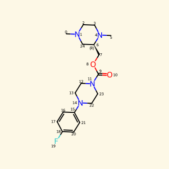 CN1CCN(C)[C@@H](COC(=O)N2CCN(c3ccc(F)cc3)CC2)C1